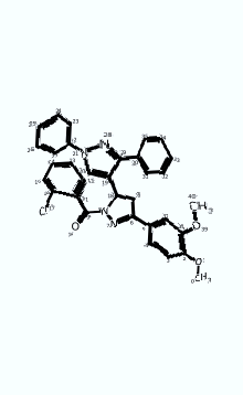 COc1ccc(C2=NN(C(=O)c3ccccc3Cl)C(c3cn(-c4ccccc4)nc3-c3ccccc3)C2)cc1OC